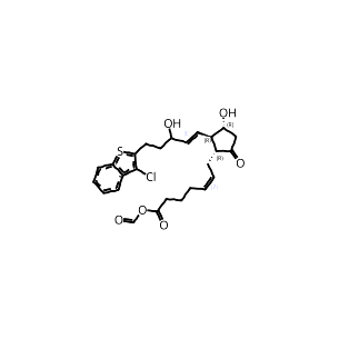 O=COC(=O)CCC/C=C\C[C@H]1C(=O)C[C@@H](O)[C@@H]1/C=C/C(O)CCc1sc2ccccc2c1Cl